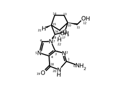 Nc1nc2c(ncn2[C@@H]2O[C@@]3(CO)CC[C@@H]2[C@@H]3O)c(=O)[nH]1